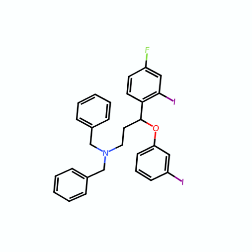 Fc1ccc(C(CCN(Cc2ccccc2)Cc2ccccc2)Oc2cccc(I)c2)c(I)c1